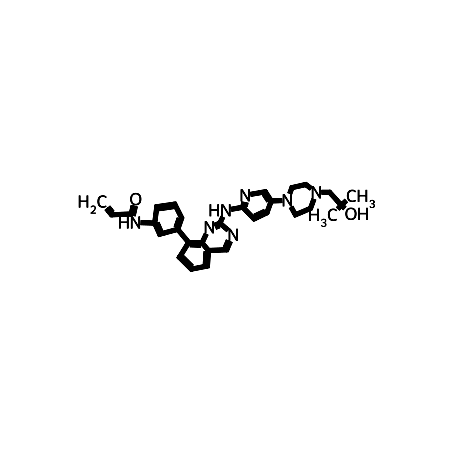 C=CC(=O)Nc1cccc(-c2cccc3cnc(Nc4ccc(N5CCN(CC(C)(C)O)CC5)cn4)nc23)c1